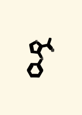 CC(=O)c1sccc1Sc1ccccc1